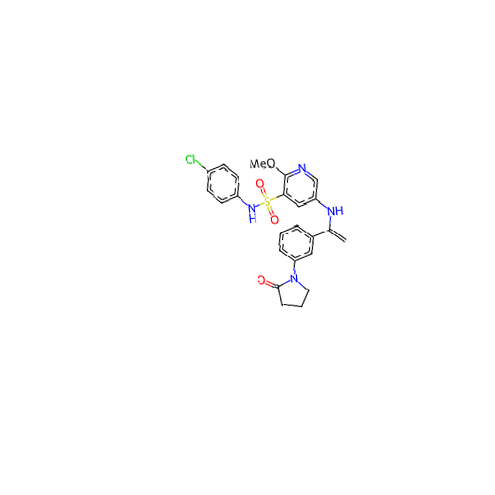 C=C(Nc1cnc(OC)c(S(=O)(=O)Nc2ccc(Cl)cc2)c1)c1cccc(N2CCCC2=O)c1